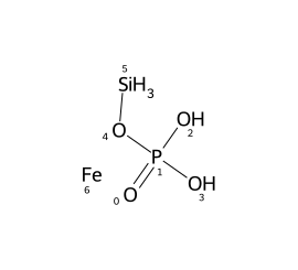 O=P(O)(O)O[SiH3].[Fe]